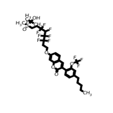 CCCCCc1ccc(-c2cc3ccc(OCCC(F)(F)C(F)(F)C(F)C(F)(F)CC[SH](C)(=O)C(C)(C)O)cc3oc2=O)c(OC(F)(F)F)c1